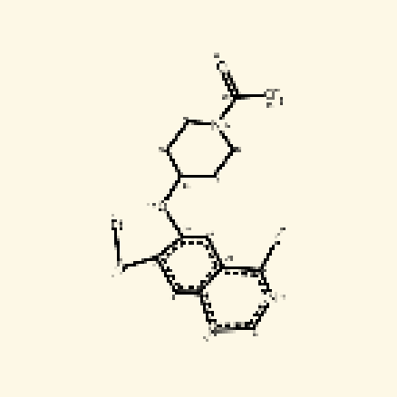 CCOc1cc2ncnc(Cl)c2cc1OC1CCN(C(=O)C(F)(F)F)CC1